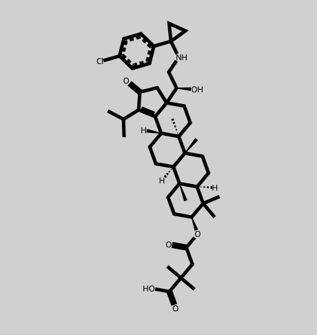 CC(C)C1=C2[C@H]3CC[C@@H]4[C@@]5(C)CC[C@H](OC(=O)CC(C)(C)C(=O)O)C(C)(C)[C@@H]5CC[C@@]4(C)[C@]3(C)CCC2([C@H](O)CNC2(c3ccc(Cl)cc3)CC2)CC1=O